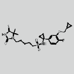 CC1(C)C(=S)NC(=O)N1CCCCCS(=O)(=O)NC1(c2ccc(F)c(OCC3CC3)c2)CC1